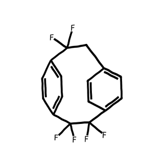 FC1(F)Cc2ccc(cc2)C(F)(F)C(F)(F)c2ccc1cc2